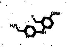 COc1ccc(Nc2ccc(CN)nc2)c(CF)c1